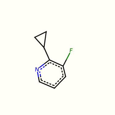 Fc1cccnc1[C]1CC1